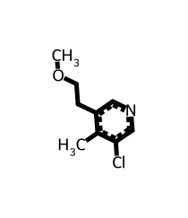 COCCc1cncc(Cl)c1C